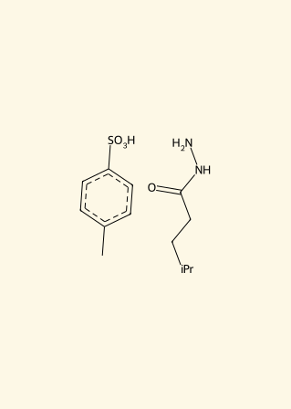 CC(C)CCC(=O)NN.Cc1ccc(S(=O)(=O)O)cc1